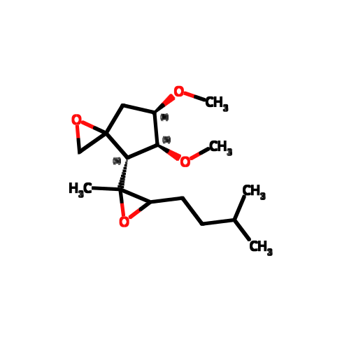 CO[C@@H]1[C@H](OC)CC2(CO2)[C@H]1C1(C)OC1CCC(C)C